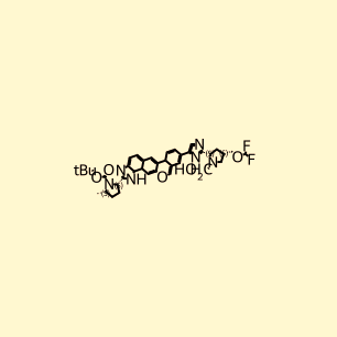 C[C@H]1CC[C@@H](C2=NC3=CC=C4C=C5C(=CC4C3N2)OC=C2C=C(c3cnc([C@@H]4C[C@H](COC(F)F)CN4C(=O)O)[nH]3)C=CC25)N1C(=O)OC(C)(C)C